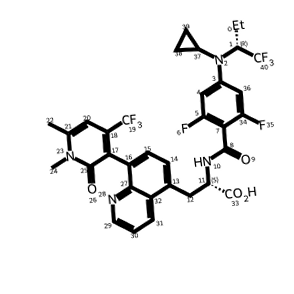 CC[C@@H](N(c1cc(F)c(C(=O)N[C@@H](Cc2ccc(-c3c(C(F)(F)F)cc(C)n(C)c3=O)c3ncccc23)C(=O)O)c(F)c1)C1CC1)C(F)(F)F